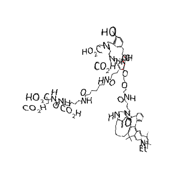 C=C1/C2=C\C3=C(CCCCC1NCC2)C(C)(C)c1cc2c(cc1=C3c1ccccc1C(=O)N(C)CCCC(=O)NCCOCCOCCNC(=O)CCc1ccc(O)c(CN(CCN(CC(=O)O)Cc3cc(CCC(=O)NCCCCCC(=O)NCCCCC(NC(=O)NC(CCC(=O)O)C(=O)O)C(=O)O)ccc3O)CC(=O)O)c1)C(C)=CC(C)(C)[N+]=2CC